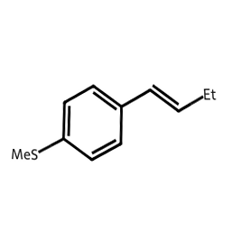 [CH2]CC=Cc1ccc(SC)cc1